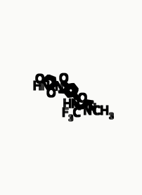 Cn1ccc(C(NC(=O)c2ccc3c(c2)CN(C2CCC(=O)NC2=O)C3=O)C(F)(F)F)n1